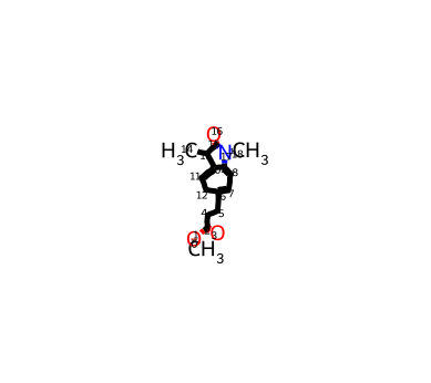 COC(=O)CCC1=CC=C2C(=CC1)C(C)C(=O)N2C